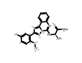 CCC[C@@H](Nc1nc2ccccc2c2nc(-c3cc(F)ccc3OC(F)(F)F)nn12)C(=O)NC